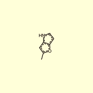 Cc1cc2[nH]ccc2o1